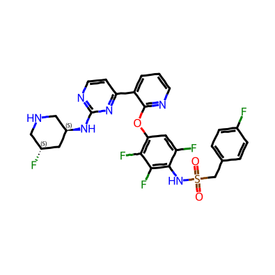 O=S(=O)(Cc1ccc(F)cc1)Nc1c(F)cc(Oc2ncccc2-c2ccnc(N[C@@H]3CNC[C@@H](F)C3)n2)c(F)c1F